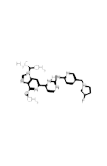 COc1nc(-c2ccnc(Nc3ccc(CN4CCC(F)C4)cn3)n2)cc2c1ncn2C(C)C